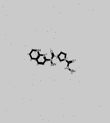 CCCN(C(=O)[C@@H]1CCN(C(=O)OC(C)(C)C)C1)c1ccc2c(n1)NCCC2